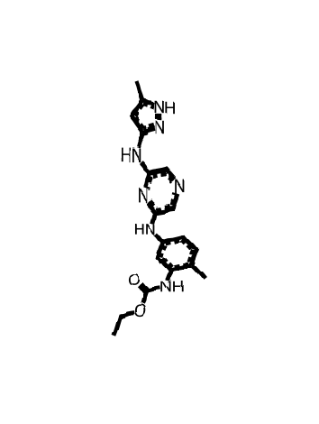 CCOC(=O)Nc1cc(Nc2cncc(Nc3cc(C)[nH]n3)n2)ccc1C